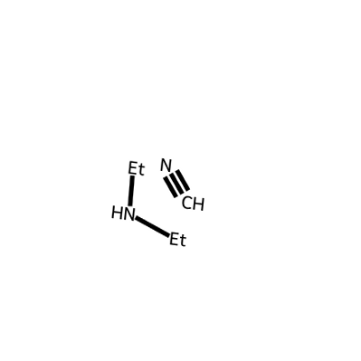 C#N.CCNCC